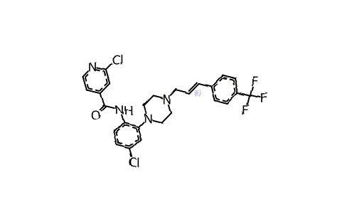 O=C(Nc1ccc(Cl)cc1N1CCN(C/C=C/c2ccc(C(F)(F)F)cc2)CC1)c1ccnc(Cl)c1